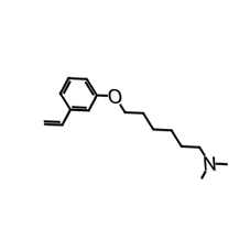 C=Cc1cccc(OCCCCCCN(C)C)c1